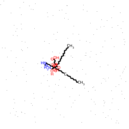 CCCCCCCCCCCCCCCC(=O)C(OC(=O)CCC(=O)O)(C(=O)CCCCCCCCCCCCCCC)C(O)(CO)C(=O)[C@@H](N)Cc1c[nH]cn1